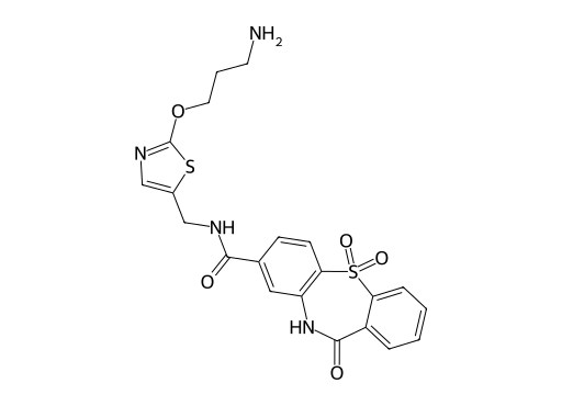 NCCCOc1ncc(CNC(=O)c2ccc3c(c2)NC(=O)c2ccccc2S3(=O)=O)s1